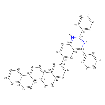 c1ccc(-c2nc(-c3ccccc3)c3cc(-c4ccc5ccc6c(ccc7c8ccccc8ccc76)c5c4)ccc3n2)cc1